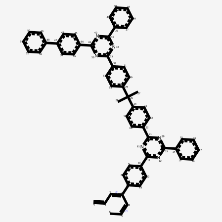 C=C/C=C(\C=C/C)c1ccc(-c2nc(-c3ccccc3)nc(-c3ccc(C(C)(C)c4ccc(-c5nc(-c6ccccc6)nc(-c6ccc(-c7ccccc7)cc6)n5)cc4)cc3)n2)cc1